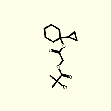 CCC(C)(C)C(=O)OCC(=O)OC1(C2CC2)CCCCC1